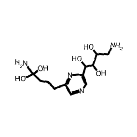 NCC(O)C(O)C(O)c1cncc(CCCC(N)(O)O)n1